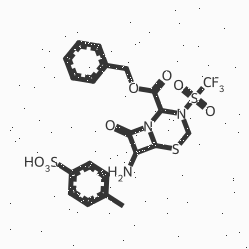 Cc1ccc(S(=O)(=O)O)cc1.NC1C(=O)N2C1SCN(S(=O)(=O)C(F)(F)F)C2C(=O)OCc1ccccc1